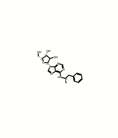 C[C@H](Cc1ccccc1)Nc1ncnc2c1ncn2[C@@H]1O[C@H](CO)[C@H](O)C1O